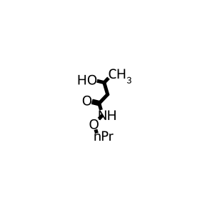 CCCONC(=O)CC(C)O